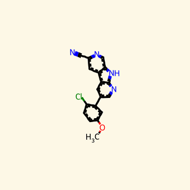 COc1ccc(Cl)c(-c2cnc3[nH]c4cnc(C#N)cc4c3c2)c1